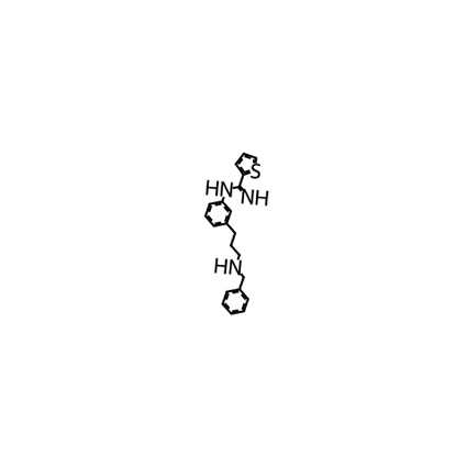 N=C(Nc1cccc(CCCNCc2ccccc2)c1)c1cccs1